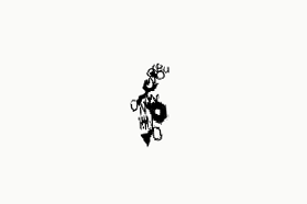 CC(C)(C)OC(=O)N1CCC(c2cc(=O)[nH]c3c4c(NC(=O)C5CC5)cccc4nn23)CC1